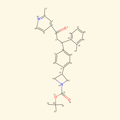 Cc1cc(C(=O)CC(c2ccc(C3CN(C(=O)OC(C)(C)C)C3)cc2)c2ccccc2C)ccn1